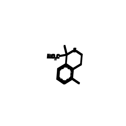 CCOC(=O)C1(C)SCCc2c(C)cccc21